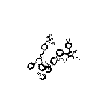 CCOP(=O)(CC1CCN(CCC(CSc2ccccc2)Nc2ccc([P@@]3(=O)OCCN3c3ccc(N4CCN(c5cccc(-c6c(C(=O)O)c(C)n(C(C)C)c6-c6ccc(Cl)cc6)c5)CC4)cc3)cc2S(=O)(=O)C(F)(F)F)CC1)OCC